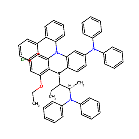 CCOc1cc(Cl)cc2c1B(C(CC)[C@H](C)N(c1ccccc1)c1ccccc1)c1ccc(N(c3ccccc3)c3ccccc3)cc1N2c1ccccc1-c1ccccc1